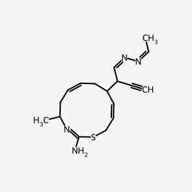 C#CC(/C=N\N=C/C)C1/C=C\CS/C(N)=N\C(C)C/C=C\C1